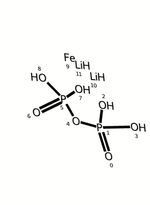 O=P(O)(O)OP(=O)(O)O.[Fe].[LiH].[LiH]